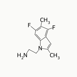 Cc1c(F)cc2c(cc(C)n2CCN)c1F